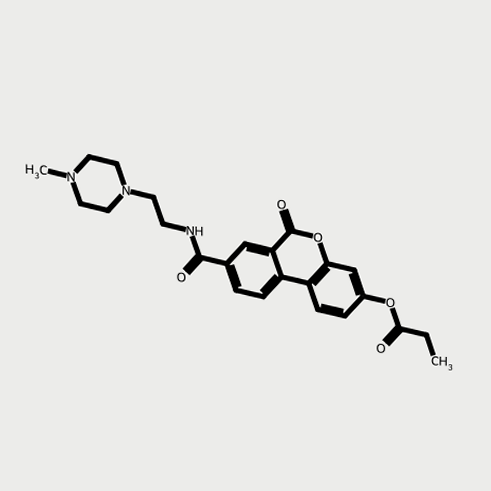 CCC(=O)Oc1ccc2c(c1)oc(=O)c1cc(C(=O)NCCN3CCN(C)CC3)ccc12